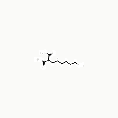 O=C(O)C(CCCCCCS)C(=O)O